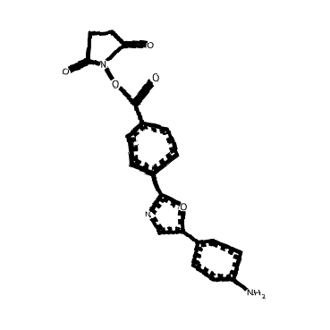 Nc1ccc(-c2cnc(-c3ccc(C(=O)ON4C(=O)CCC4=O)cc3)o2)cc1